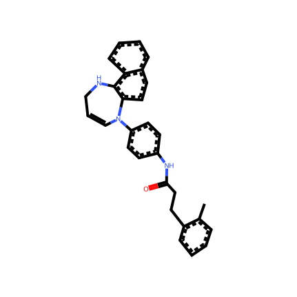 Cc1ccccc1CCC(=O)Nc1ccc(N2C=CCNc3c2ccc2ccccc32)cc1